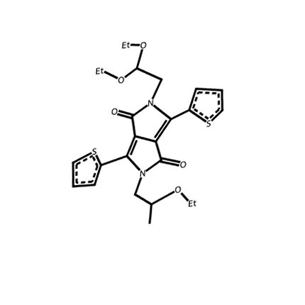 CCOC(C)CN1C(=O)C2=C(c3cccs3)N(CC(OCC)OCC)C(=O)C2=C1c1cccs1